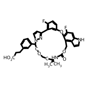 CC1(C)CCOCC(c2cccc(CCC(=O)O)c2)n2ccc(n2)-c2cc(ccc2F)Oc2c(F)cc3[nH]ccc3c2COC(=O)N1